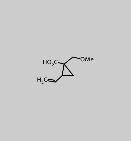 C=CC1CC1(COC)C(=O)O